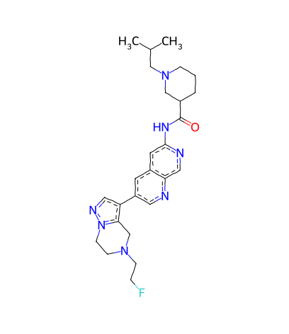 CC(C)CN1CCCC(C(=O)Nc2cc3cc(-c4cnn5c4CN(CCF)CC5)cnc3cn2)C1